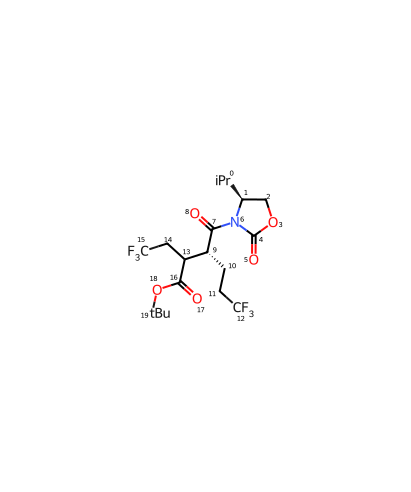 CC(C)[C@H]1COC(=O)N1C(=O)[C@H](CCC(F)(F)F)C(CC(F)(F)F)C(=O)OC(C)(C)C